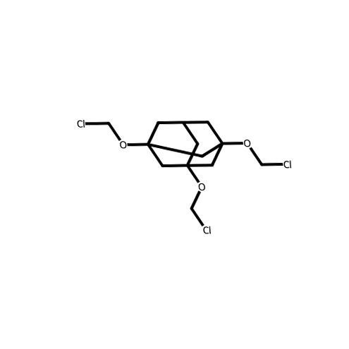 ClCOC12CC3CC(OCCl)(C1)CC(OCCl)(C3)C2